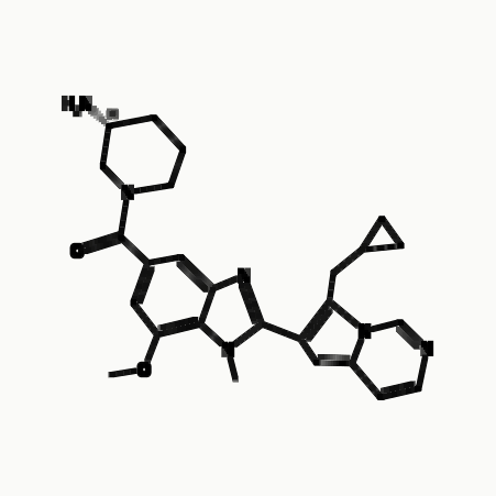 COc1cc(C(=O)N2CCC[C@@H](N)C2)cc2nc(-c3cc4ccncn4c3CC3CC3)n(C)c12